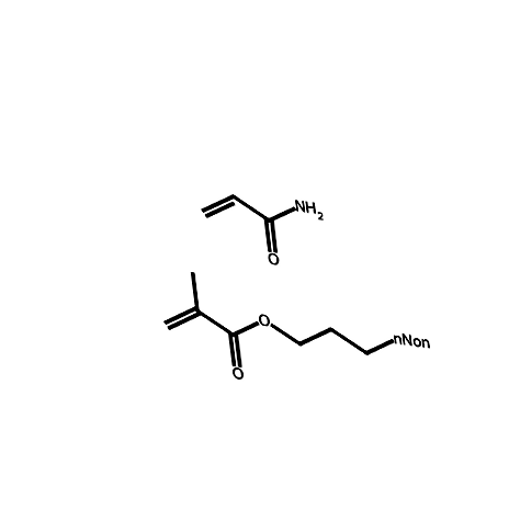 C=C(C)C(=O)OCCCCCCCCCCCC.C=CC(N)=O